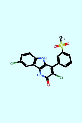 CS(=O)(=O)c1cccc(-c2c(Cl)c(=O)[nH]c3c2[nH]c2ccc(Cl)cc23)c1